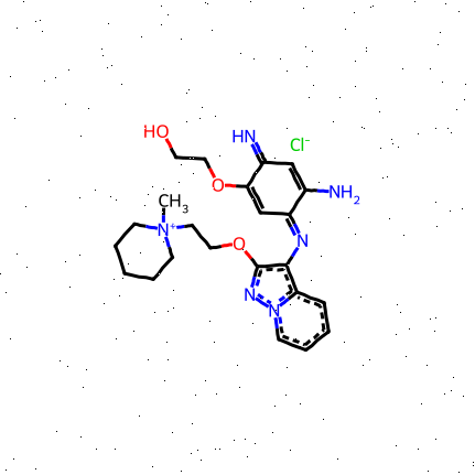 C[N+]1(CCOc2nn3ccccc3c2/N=C2\C=C(OCCO)C(=N)C=C2N)CCCCC1.[Cl-]